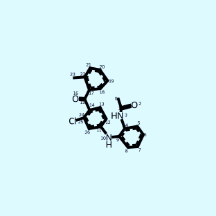 CC(=O)Nc1ccccc1Nc1ccc(C(=O)c2ccccc2C)c(Cl)c1